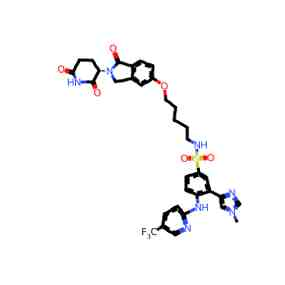 Cn1cnc(-c2cc(S(=O)(=O)NCCCCCOc3ccc4c(c3)CN([C@H]3CCC(=O)NC3=O)C4=O)ccc2Nc2ccc(C(F)(F)F)cn2)c1